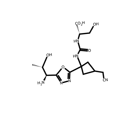 C[C@H](O)[C@H](N)c1nnc(C2(NC(=O)N[C@@H](CO)C(=O)O)CC(CC#N)C2)o1